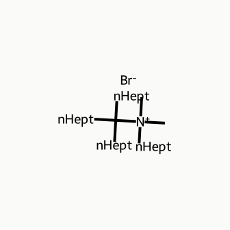 CCCCCCCC(CCCCCCC)(CCCCCCC)[N+](C)(C)CCCCCCC.[Br-]